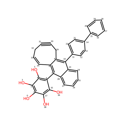 Oc1c(O)c(O)c(-c2c3c(c(-c4ccc(-c5ccccc5)cc4)c4ccccc24)CC#CC/C=C\3)c(O)c1O